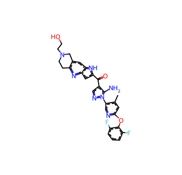 Cc1cc(Oc2c(F)cccc2F)ncc1-n1ncc(C(=O)c2cc3nc4c(cc3[nH]2)CN(CCO)CC4)c1N